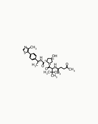 CC(=O)CCC(=O)NC(C(=O)N1C[C@H](O)C[C@H]1C(=O)N[C@@H](C)c1ccc(-c2scnc2C)cc1)C(C)(C)C